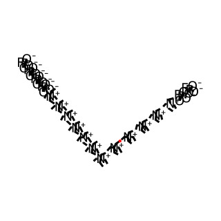 CC[N+](CC)(CC)CC.CC[N+](CC)(CC)CC.CC[N+](CC)(CC)CC.CC[N+](CC)(CC)CC.CC[N+](CC)(CC)CC.CC[N+](CC)(CC)CC.CC[N+](CC)(CC)CC.CC[N+](CC)(CC)CC.CC[N+](CC)(CC)CC.CC[N+](CC)(CC)CC.CC[N+](CC)(CC)CC.CC[N+](CC)(CC)CC.O=P([O-])([O-])F.O=P([O-])([O-])F.O=P([O-])([O-])F.O=P([O-])([O-])F.O=P([O-])([O-])F.O=P([O-])([O-])F